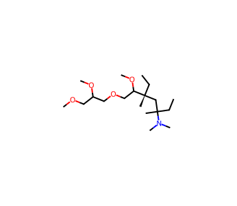 CCC(C)(C[C@@](C)(CC)C(COCC(COC)OC)OC)N(C)C